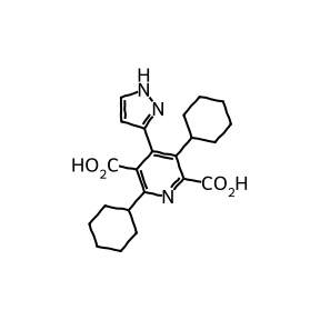 O=C(O)c1nc(C2CCCCC2)c(C(=O)O)c(-c2cc[nH]n2)c1C1CCCCC1